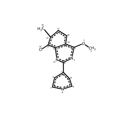 COc1nc(-c2ccncc2)nc2c(Cl)c(C)ccc12